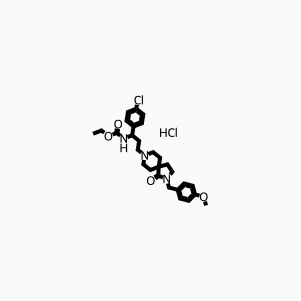 CCOC(=O)NC(CCN1CCC2(CC1)CCN(Cc1ccc(OC)cc1)C2=O)c1ccc(Cl)cc1.Cl